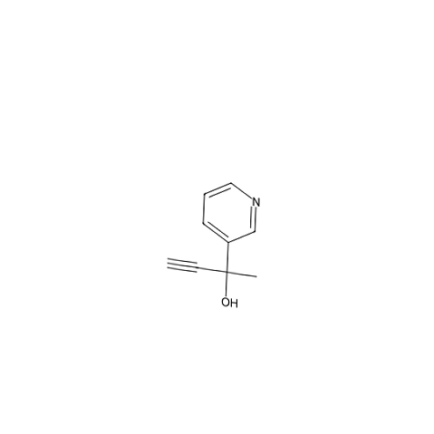 C#CC(C)(O)c1cccnc1